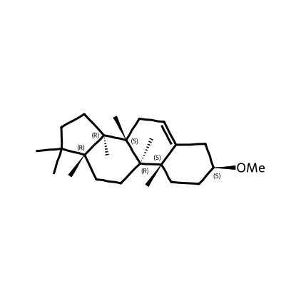 CO[C@H]1CC[C@@]2(C)C(=CC[C@]3(C)[C@]2(C)CC[C@]2(C)C(C)(C)CC[C@@]32C)C1